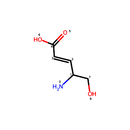 NC(C=CC(=O)O)CO